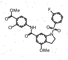 COC(=O)c1ccc(NC(=O)c2cc(OC)c3c(c2)N(S(=O)(=O)c2cccc(F)c2)CC3)cc1Cl